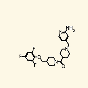 Nc1cc(CN2CCC(C(=O)N3CCC(COc4c(F)cc(F)cc4F)CC3)CC2)ccn1